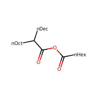 CCCCCCCCCCC(CCCCCCCC)C(=O)OC(=O)CCCCCC